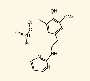 CCO[PH](=O)CC.COc1cc(CCNc2ncccn2)cc(C)c1O